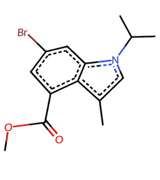 COC(=O)c1cc(Br)cc2c1c(C)cn2C(C)C